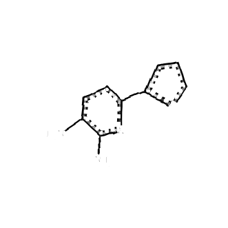 Nc1ccc(-c2cccs2)nc1N